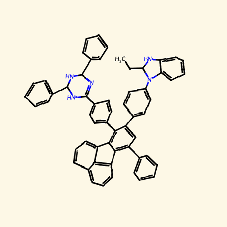 CCC1Nc2ccccc2N1c1ccc(-c2cc(-c3ccccc3)c3c(c2-c2ccc(C4=NC(c5ccccc5)NC(c5ccccc5)N4)cc2)-c2cccc4cccc-3c24)cc1